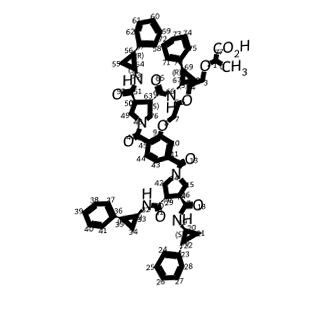 CC(OCCOCCOc1cc(C(=O)N2C[C@@H](C(=O)N[C@H]3C[C@@H]3c3ccccc3)[C@H](C(=O)N[C@H]3C[C@@H]3c3ccccc3)C2)ccc1C(=O)N1C[C@@H](C(=O)N[C@H]2C[C@@H]2c2ccccc2)[C@H](C(=O)N[C@H]2C[C@@H]2c2ccccc2)C1)C(=O)O